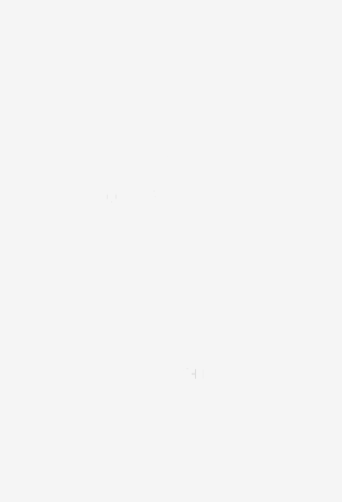 COC(=O)c1cccc2c(O)cccc12